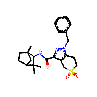 CC12CCC(C1)C(C)(C)C2NC(=O)c1nn(Cc2ccccc2)c2c1CS(=O)(=O)CC2